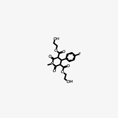 CN1C(=O)C(C(=O)OCCO)C(c2ccc(F)cc2)C(C(=O)OCCO)C1=O